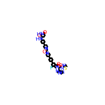 O=C1CC[C@@H](Nc2ccc(C3CCN(CC(=O)N4CCC(c5ccc(-c6cc(F)c7c(c6)C(=O)N(C(C(=O)Nc6nccs6)c6ncn8c6CCC8)C7)cc5)CC4)CC3)cc2)C(=O)N1